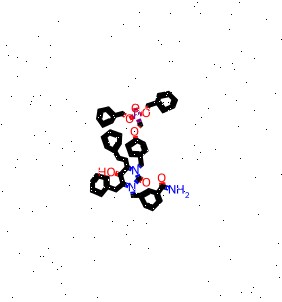 NC(=O)c1cccc(CN2C(=O)N(Cc3ccc(OCP(=O)(OCc4ccccc4)OCc4ccccc4)cc3)C(CCc3ccccc3)C(O)C2Cc2ccccc2)c1